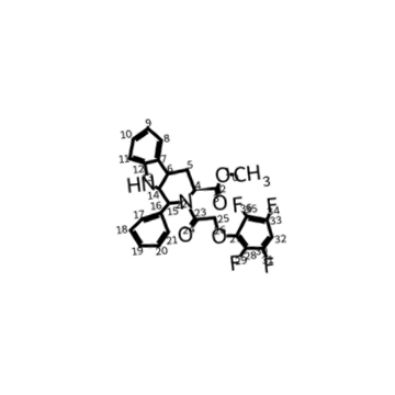 COC(=O)[C@@H]1CC2c3ccccc3NC2C(c2ccccc2)N1C(=O)COc1c(F)c(F)cc(F)c1F